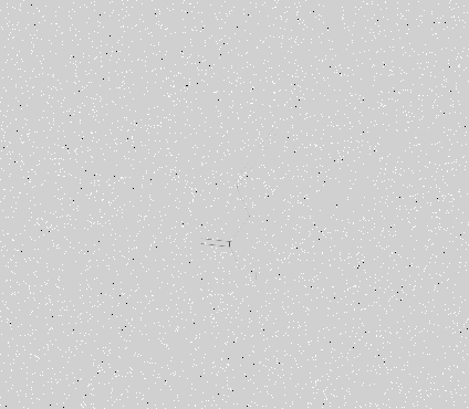 C=C=CCC(=O)O